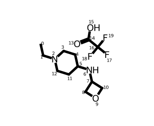 CCN1CCC(NC2COC2)CC1.O=C(O)C(F)(F)F